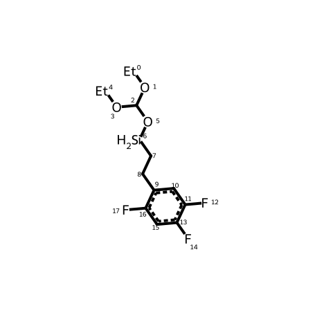 CCOC(OCC)O[SiH2]CCc1cc(F)c(F)cc1F